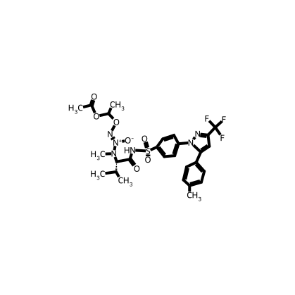 CC(=O)OC(C)ON=[N+]([O-])N(C)[C@H](C(=O)NS(=O)(=O)c1ccc(-n2nc(C(F)(F)F)cc2-c2ccc(C)cc2)cc1)C(C)C